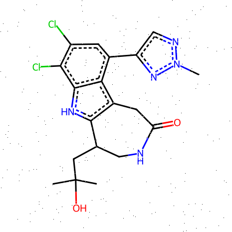 Cn1ncc(-c2cc(Cl)c(Cl)c3[nH]c4c(c23)CC(=O)NCC4CC(C)(C)O)n1